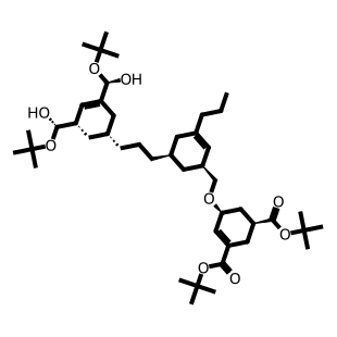 CCCC1=C[C@@H](CO[C@@H]2C=C(C(=O)OC(C)(C)C)C[C@H](C(=O)OC(C)(C)C)C2)C[C@@H](CCC[C@H]2CC([C@H](O)OC(C)(C)C)=C[C@@H]([C@@H](O)OC(C)(C)C)C2)C1